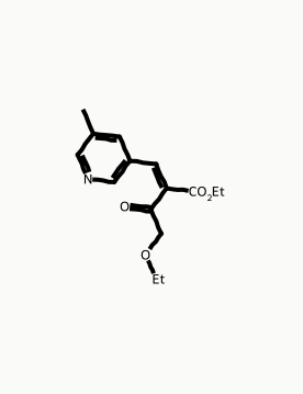 CCOCC(=O)C(=Cc1cncc(C)c1)C(=O)OCC